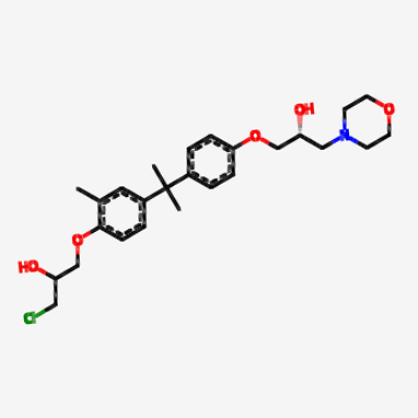 Cc1cc(C(C)(C)c2ccc(OC[C@H](O)CN3CCOCC3)cc2)ccc1OCC(O)CCl